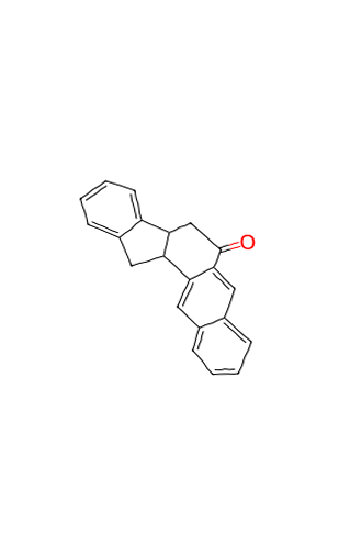 O=C1CC2c3ccccc3CC2c2cc3ccccc3cc21